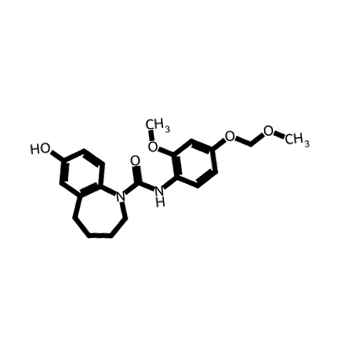 COCOc1ccc(NC(=O)N2CCCCc3cc(O)ccc32)c(OC)c1